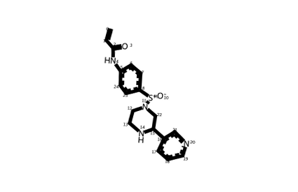 C=CC(=O)Nc1ccc([S+]([O-])N2CCNC(c3cccnc3)C2)cc1